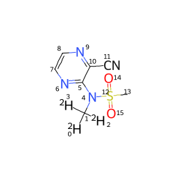 [2H]C([2H])([2H])N(c1nccnc1C#N)S(C)(=O)=O